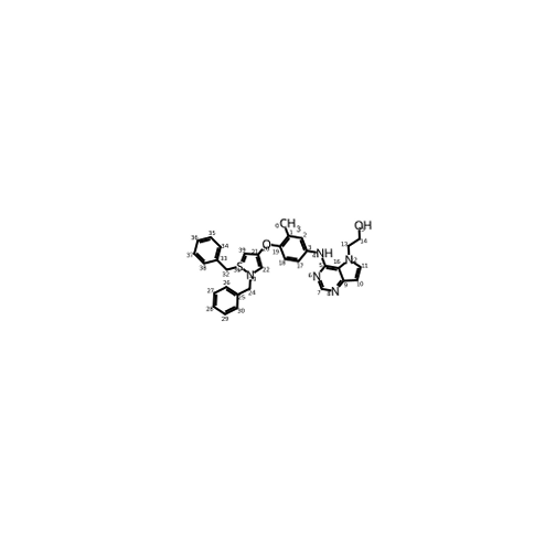 Cc1cc(Nc2ncnc3ccn(CCO)c23)ccc1OC1=CN(Cc2ccccc2)S(Cc2ccccc2)=C1